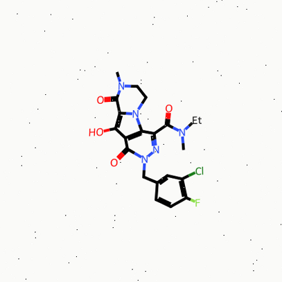 CCN(C)C(=O)c1nn(Cc2ccc(F)c(Cl)c2)c(=O)c2c(O)c3n(c12)CCN(C)C3=O